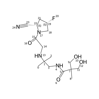 CC(C)(CNC(=O)C(C)(CO)CO)NCC(=O)N1C[C@@H](F)C[C@H]1C#N